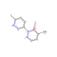 Cc1ccc(-n2nccc(C#N)c2=O)cn1